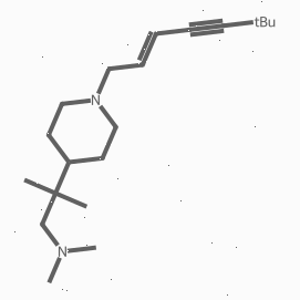 CN(C)CC(C)(C)C1CCN(CC=CC#CC(C)(C)C)CC1